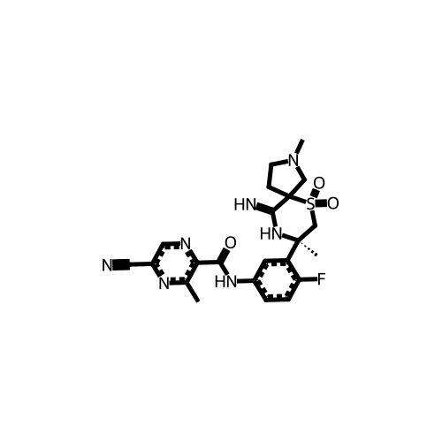 Cc1nc(C#N)cnc1C(=O)Nc1ccc(F)c([C@]2(C)CS(=O)(=O)C3(CCN(C)C3)C(=N)N2)c1